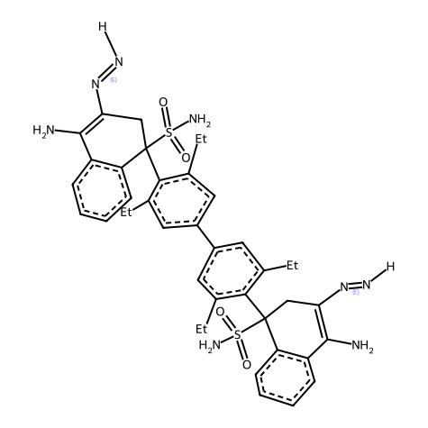 [H]/N=N/C1=C(N)c2ccccc2C(c2c(CC)cc(-c3cc(CC)c(C4(S(N)(=O)=O)CC(/N=N/[H])=C(N)c5ccccc54)c(CC)c3)cc2CC)(S(N)(=O)=O)C1